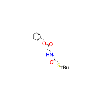 CC(C)(C)SCC(=O)CNCCC(=O)OCc1ccccc1